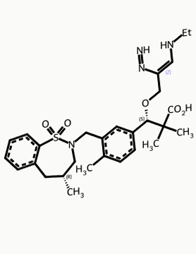 CCN/C=C(/CO[C@@H](c1ccc(C)c(CN2C[C@H](C)Cc3ccccc3S2(=O)=O)c1)C(C)(C)C(=O)O)N=N